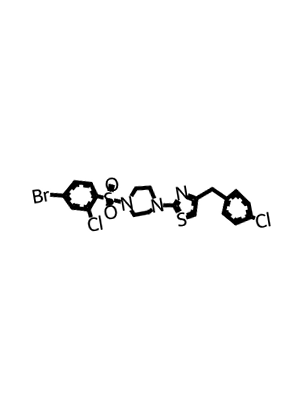 O=S(=O)(c1ccc(Br)cc1Cl)N1CCN(c2nc(Cc3ccc(Cl)cc3)cs2)CC1